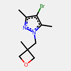 Cc1nn(CC2(C)COC2)c(C)c1Br